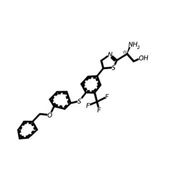 N[C@@H](CO)C1=NCC(c2ccc(Sc3cccc(OCc4ccccc4)c3)c(C(F)(F)F)c2)S1